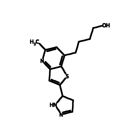 Cc1cc(CCCCO)c2sc(C3CC=NN3)cc2n1